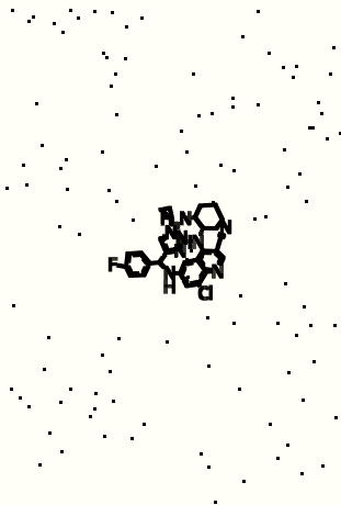 N#Cc1cnc2c(Cl)cc(NC(c3ccc(F)cc3)c3cn(C4CC4)nn3)cc2c1N[C@@H]1CCCC[C@@H]1N